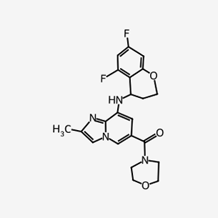 Cc1cn2cc(C(=O)N3CCOCC3)cc(NC3CCOc4cc(F)cc(F)c43)c2n1